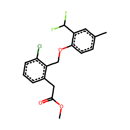 COC(=O)Cc1cccc(Cl)c1COc1ccc(C)cc1C(F)F